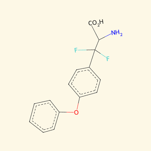 NC(C(=O)O)C(F)(F)c1ccc(Oc2ccccc2)cc1